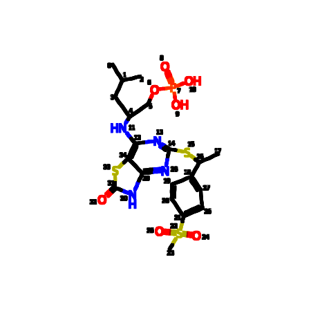 CC(C)CC(COP(=O)(O)O)Nc1nc(SC(C)c2ccc(S(C)(=O)=O)cc2)nc2[nH]c(=O)sc12